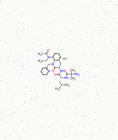 CCN(C(C)=O)c1cccc2c1N(Cc1ccccn1)C(=O)C(NC(=O)[C@@H](CC(C)C)NC(=O)C(C)(C)N)C2.Cl